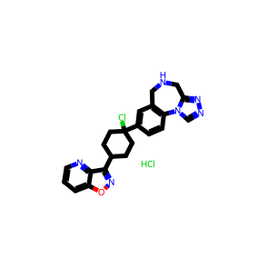 Cl.ClC1(c2ccc3c(c2)CNCc2nncn2-3)CCC(c2noc3cccnc23)CC1